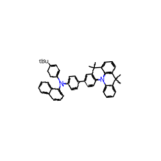 CC(C)(C)C1=CC=C(N(c2ccc(-c3ccc4c(c3)C(C)(C)c3cccc5c3N4c3ccccc3C5(C)C)cc2)c2cccc3ccccc23)CC1